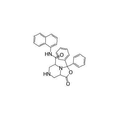 O=C(Nc1cccc2ccccc12)C1CNCC2C(=O)OC(c3ccccc3)(c3ccccc3)N12